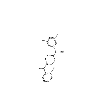 Cc1cc(C)cc(C(O)C2CCN(C(C)c3ccccc3F)CC2)c1